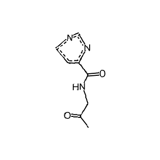 CC(=O)CNC(=O)c1ccncn1